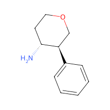 N[C@@H]1CCOC[C@H]1c1ccccc1